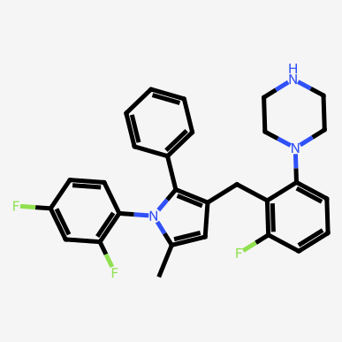 Cc1cc(Cc2c(F)cccc2N2CCNCC2)c(-c2ccccc2)n1-c1ccc(F)cc1F